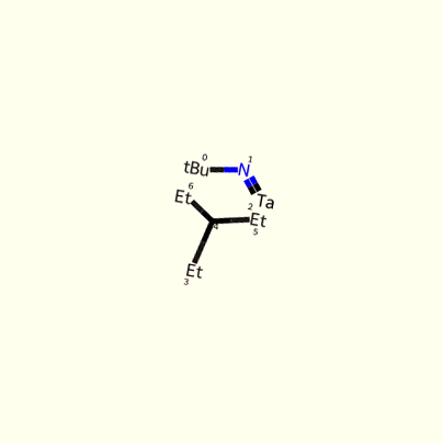 CC(C)(C)[N]=[Ta].CCC(CC)CC